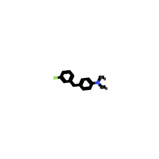 CN(C)c1ccc([CH]c2cccc(F)c2)cc1